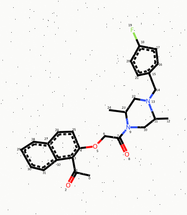 CC(=O)c1c(OCC(=O)N2CC(C)N(Cc3ccc(F)cc3)CC2C)ccc2ccccc12